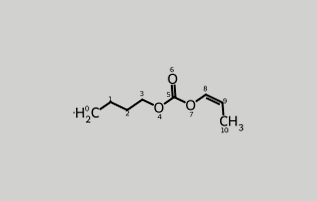 [CH2]CCCOC(=O)O/C=C\C